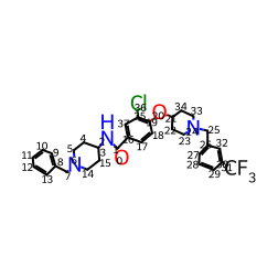 O=C(NC1CCN(Cc2ccccc2)CC1)c1ccc(OC2CCN(Cc3cccc(C(F)(F)F)c3)CC2)c(Cl)c1